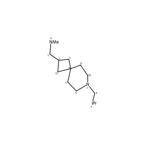 CNCC1CC2(CCN(CC(C)C)CC2)C1